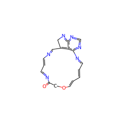 O=C1CO/C=C/C=C/C=N/c2ncnc3c2=C(/C=N/C=C/C=N/1)CN=3